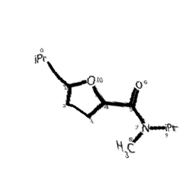 CC(C)C1CCC(C(=O)N(C)C(C)C)O1